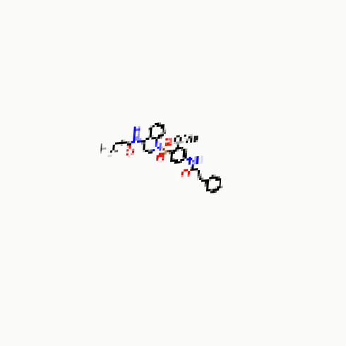 C=CC(=O)NC1CCN(S(=O)(=O)c2ccc(NC(=O)CCc3ccccc3)cc2OC)c2ccccc21